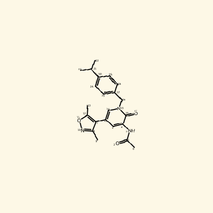 CC(=O)Nc1cc(-c2c(C)noc2C)cn(Cc2ccc(C(C)C)cc2)c1=O